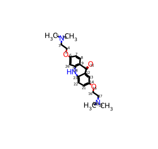 CN(C)CCOc1ccc2c(=O)c3cc(OCCN(C)C)ccc3[nH]c2c1